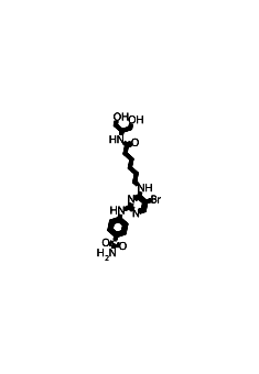 NS(=O)(=O)c1ccc(Nc2ncc(Br)c(NCCCCCC(=O)NC(CO)CO)n2)cc1